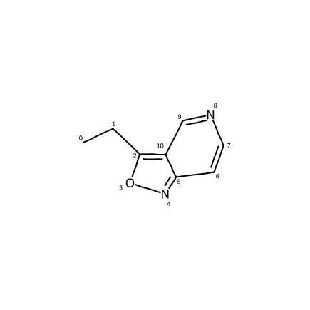 CCc1onc2ccncc12